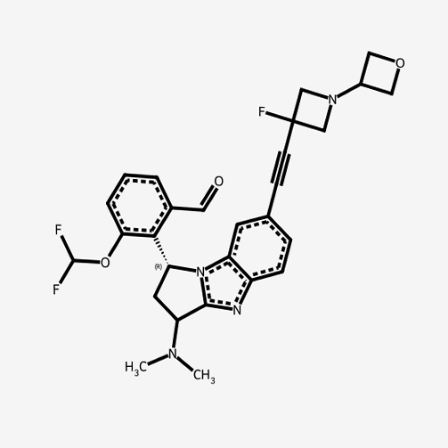 CN(C)C1C[C@H](c2c(C=O)cccc2OC(F)F)n2c1nc1ccc(C#CC3(F)CN(C4COC4)C3)cc12